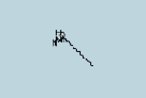 CCCCCCCCCCCCCCCCC[C](=O)[Mn][NH]C#N